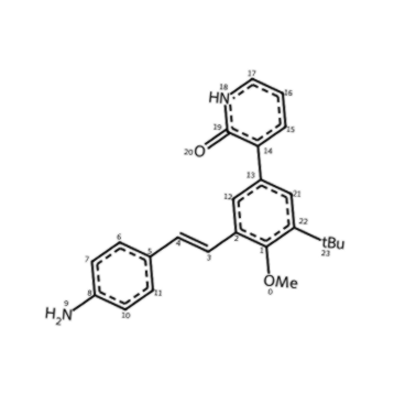 COc1c(C=Cc2ccc(N)cc2)cc(-c2ccc[nH]c2=O)cc1C(C)(C)C